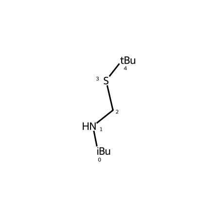 CCC(C)NCSC(C)(C)C